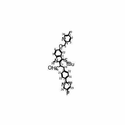 Cc1ccc(COc2ccc3c(c2)c(SC(C)(C)C)c(C(C=O)Cc2ccc(-c4ncc(F)cn4)cc2)n3C)nc1